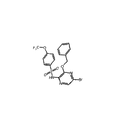 O=S(=O)(Nc1ncc(Br)nc1OCc1ccccc1)c1ccc(OC(F)(F)F)cc1